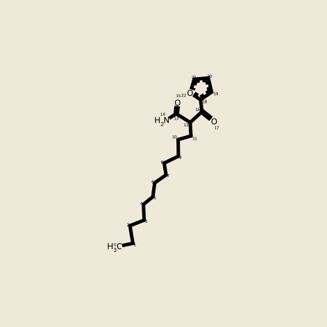 CCCCCCCCCCCCC(C(N)=O)C(=O)c1ccco1